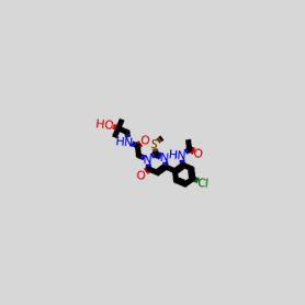 CSc1nc(-c2ccc(Cl)cc2NC(C)=O)cc(=O)n1CC(=O)NCC(C)(C)O